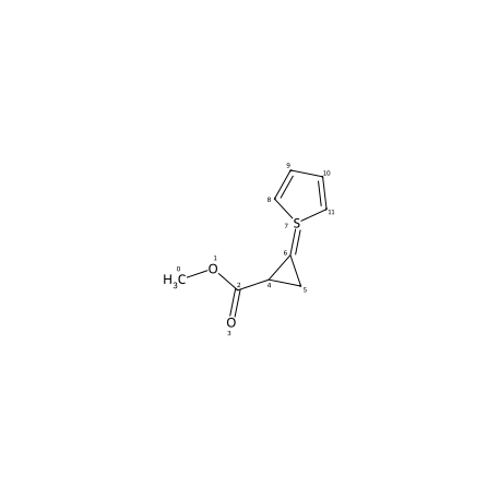 COC(=O)C1CC1=S1C=CC=C1